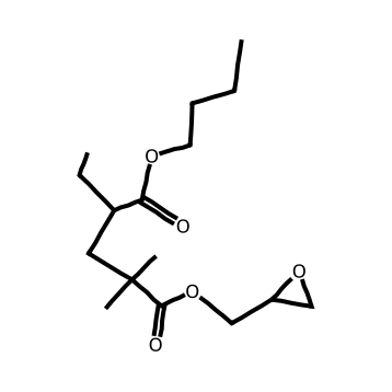 CCCCOC(=O)C(CC)CC(C)(C)C(=O)OCC1CO1